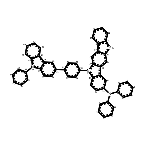 c1ccc(N(c2ccccc2)c2ccc3c(c2)c2cc4sc5ccccc5c4cc2n3-c2ccc(-c3ccc4c(c3)c3ccccc3n4-c3ccccc3)cc2)cc1